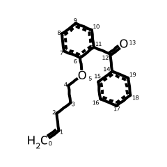 C=CCCCOc1ccccc1C(=O)c1ccccc1